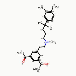 COC(=O)c1cc(CCN(C)CCCC(C#N)(c2ccc(OC)c(OC)c2)C(C)C)cc(C(O)OC)c1